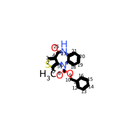 Cc1scc2c1N(C(=O)OCc1ccccc1)c1ccccc1NC2=O